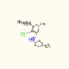 CCc1ccc(Nc2cc(CC)cc(NC)c2Cl)cc1